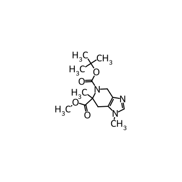 COC(=O)C1(C)Cc2c(ncn2C)CN1C(=O)OC(C)(C)C